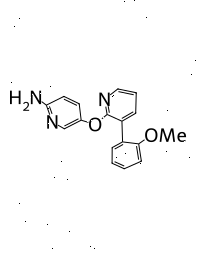 COc1ccccc1-c1cccnc1Oc1ccc(N)nc1